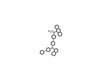 CN(c1ccc(-c2ccc(N(c3ccc(-c4ccccc4)cc3)c3cccc4ccccc34)cc2)cc1)c1c2ccccc2cc2ccccc12